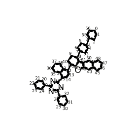 c1ccc(-c2ccc(-c3ccc(-c4ccc(-c5nc(-c6ccccc6)nc(-c6ccccc6)n5)c5ccccc45)c4oc5cc6ccccc6cc5c34)cc2)cc1